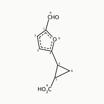 O=Cc1ccc(C2CC2C(=O)O)o1